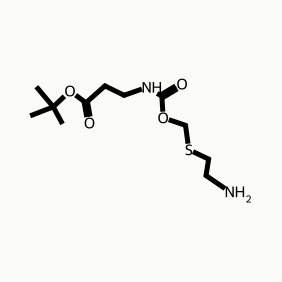 CC(C)(C)OC(=O)CCNC(=O)OCSCCN